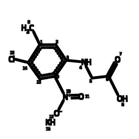 Cc1cc(NCC(=O)O)c([N+](=O)[O-])cc1Cl.[KH]